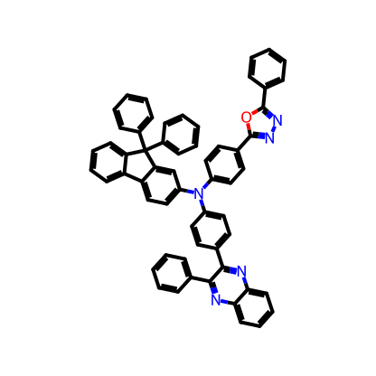 c1ccc(-c2nnc(-c3ccc(N(c4ccc(-c5nc6ccccc6nc5-c5ccccc5)cc4)c4ccc5c(c4)C(c4ccccc4)(c4ccccc4)c4ccccc4-5)cc3)o2)cc1